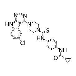 O=C(Nc1ccc(NC(=S)N2CCN(c3ncnc4[nH]c5ccc(Cl)cc5c34)CC2)cc1)C1CC1